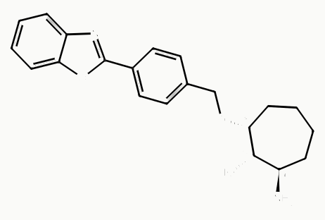 N[C@@H]1CCCC[C@@H](OCc2ccc(-c3nc4ccccc4o3)cc2)[C@H]1O